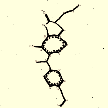 CCCC1Cc2ccc(C(C)c3ccc(CC)cc3)c(F)c2OC1=O